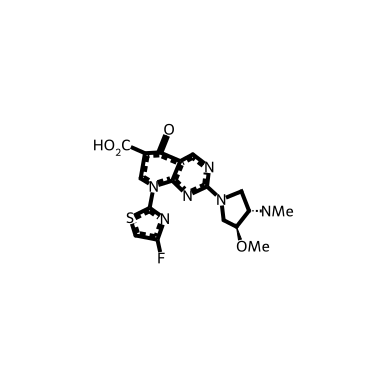 CN[C@H]1CN(c2ncc3c(=O)c(C(=O)O)cn(-c4nc(F)cs4)c3n2)C[C@@H]1OC